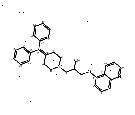 OC(COc1cccc2ncccc12)CN1CCC(=C(c2ccccc2)c2ccccc2)CC1